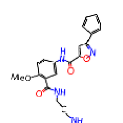 COc1ccc(NC(=O)c2cc(-c3ccccc3)no2)cc1C(=O)NCCCN